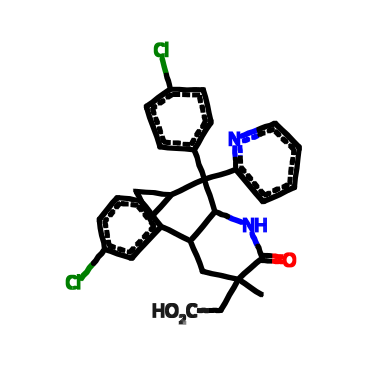 CC1(CC(=O)O)CC(c2cccc(Cl)c2)C(C(c2ccc(Cl)cc2)(c2ccccn2)C2CC2)NC1=O